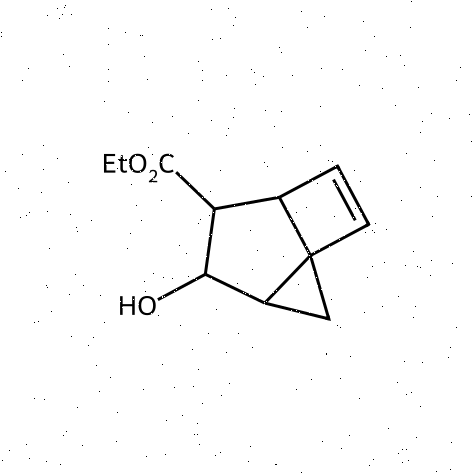 CCOC(=O)C1C(O)C2CC23C=CC13